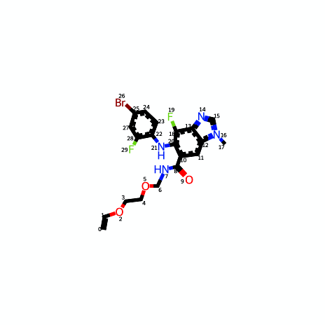 C=COCCOCNC(=O)c1cc2c(ncn2C)c(F)c1Nc1ccc(Br)cc1F